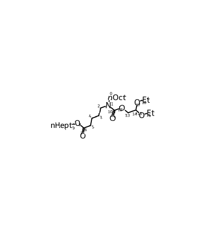 CCCCCCCCN(CCCCC(=O)OCCCCCCC)C(=O)OCC(OCC)OCC